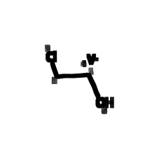 OCCCl.[V]